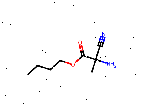 CCCCOC(=O)C(C)(N)C#N